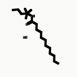 CCCCCCCCCCCC(=O)NP(C)(C)(C)CCC.Cl